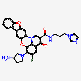 NC1CCN(c2c(F)cc3c(=O)c(C(=O)NCCCn4ccnc4)cn4c3c2Oc2cc3c(cc2-4)oc2ccccc23)C1